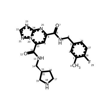 Cc1cc(CNC(=O)c2cc(C(=O)NC[C@H]3CCNC3)n3ncnc3n2)ccc1F